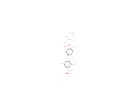 Cc1cc(NC(=O)CC(=O)O)c2c(c1Oc1ccc(O)c(S(=O)(=O)CC3CCCCC3)c1)CCC2